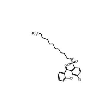 O=C(O)CCCCCCCCCCNS(=O)(=O)c1ccc(Cl)cc1C(=O)c1ccccc1Cl